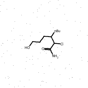 CCCCC(CCCO)C(Cl)C(N)=O